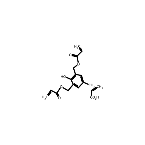 C=CC(=O)O.C=CC(=O)OCc1cc(C)cc(COC(=O)C=C)c1O